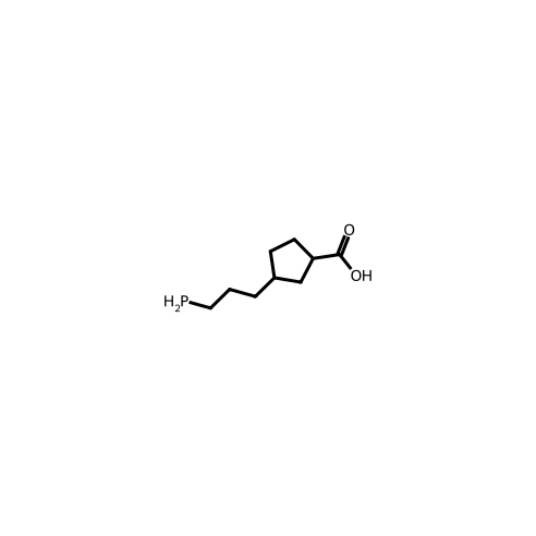 O=C(O)C1CCC(CCCP)C1